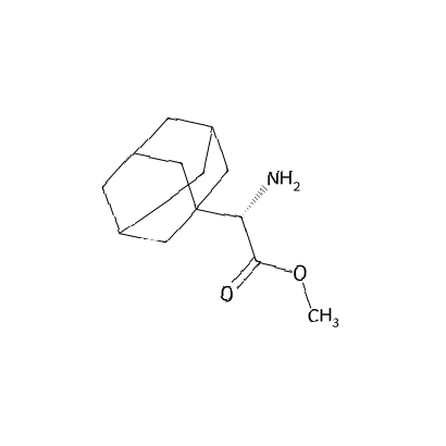 COC(=O)[C@@H](N)C12CC3CC(CC(C3)C1)C2